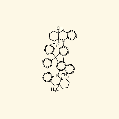 CC12CCCCC1(C)N(c1ccc3c(c1)C(c1ccccc1)(c1ccccc1)c1cc(N4c5ccccc5CC5(C)CCCCC45C)c4ccccc4c1-3)c1ccccc1C2